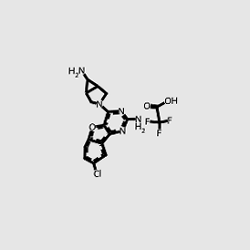 Nc1nc(N2CC3C(N)C3C2)c2oc3ccc(Cl)cc3c2n1.O=C(O)C(F)(F)F